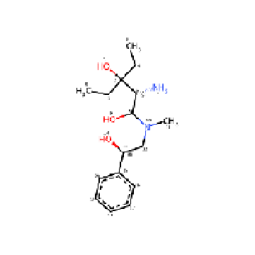 CCC(O)(CC)[C@H](N)C(O)N(C)C[C@H](O)c1ccccc1